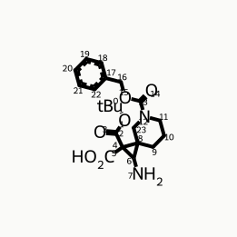 CC(C)(C)OC(=O)C1(C(=O)O)C(N)C12CCCN(C(=O)OCc1ccccc1)C2